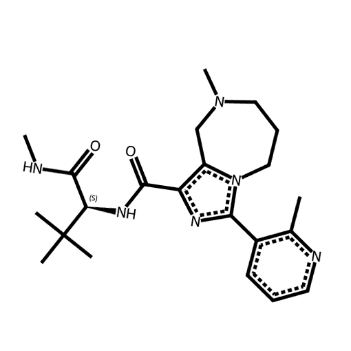 CNC(=O)[C@@H](NC(=O)c1nc(-c2cccnc2C)n2c1CN(C)CCC2)C(C)(C)C